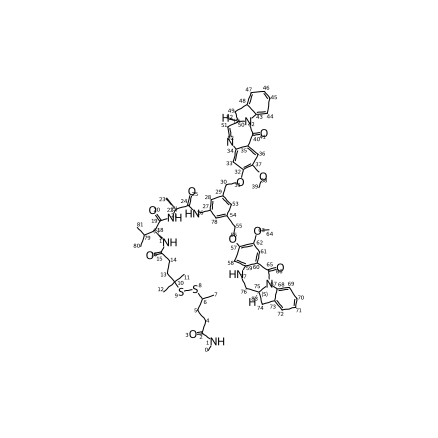 CNC(=O)CCC(C)SSC(C)(C)CCC(=O)N[C@H](C(=O)N[C@@H](C)C(=O)Nc1cc(COc2cc3c(cc2OC)C(=O)N2c4ccccc4C[C@H]2C=N3)cc(COc2cc3c(cc2OC)C(=O)N2c4ccccc4C[C@H]2CN3)c1)C(C)C